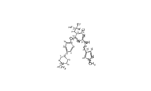 CN1CCC(c2ccc(Oc3nc(NSc4cnn(C)c4)nc(Cl)c3CC(F)(F)F)cc2)CC1